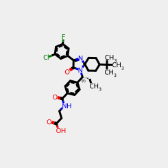 CC[C@H](c1ccc(C(=O)NCCC(=O)O)cc1)N1C(=O)C(c2cc(F)cc(Cl)c2)=NC12CCC(C(C)(C)C)CC2